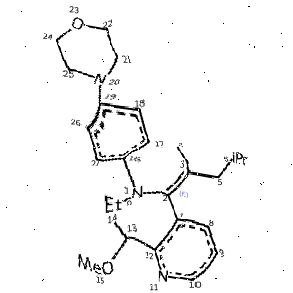 CCN(/C(=C(\C)CC(C)C)c1cccnc1C(C)OC)c1ccc(N2CCOCC2)cc1